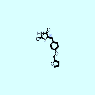 O=C1NC(=O)/C(=C/c2ccc(OCc3ccco3)cc2)S1